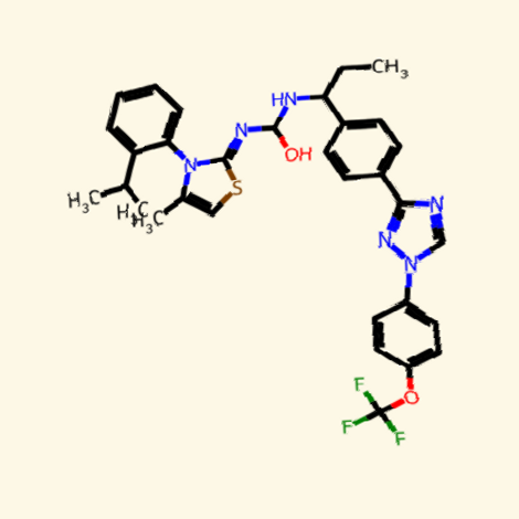 CCC(NC(O)/N=c1\scc(C)n1-c1ccccc1C(C)C)c1ccc(-c2ncn(-c3ccc(OC(F)(F)F)cc3)n2)cc1